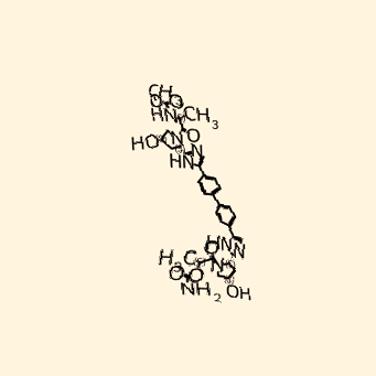 COC(=O)N[C@@H](C)C(=O)N1C[C@@H](O)C[C@H]1c1ncc(-c2ccc(-c3ccc(-c4cnc([C@@H]5C[C@H](O)CN5C(=O)[C@H](C)OC(N)=O)[nH]4)cc3)cc2)[nH]1